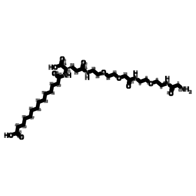 NCC(=O)NCCOCCNC(=O)COCCOCCNC(=O)CC[C@H](NC(=O)CCCCCCCCCCCCC(=O)O)C(=O)O